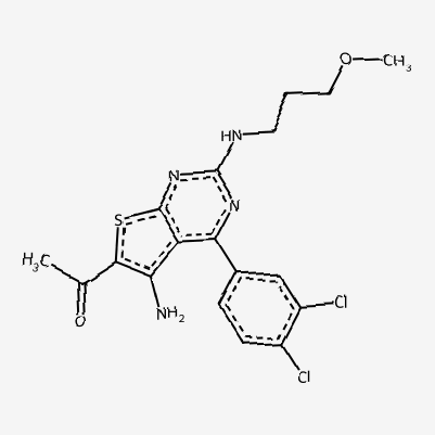 COCCCNc1nc(-c2ccc(Cl)c(Cl)c2)c2c(N)c(C(C)=O)sc2n1